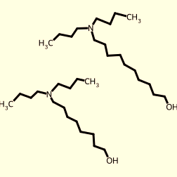 CCCCN(CCCC)CCCCCCCCCCO.CCCCN(CCCC)CCCCCCCCO